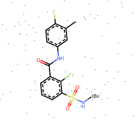 Cc1cc(NC(=O)c2cccc(S(=O)(=O)NC(C)(C)C)c2F)ccc1F